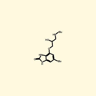 CC(C)(C)NCC(O)COc1cc(C(C)(C)C)cc2[nH]c(=O)[nH]c12